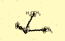 C=C(C)C(=O)OCCCCCCCCCCCNc1cccc(C=Cc2ccc(C(=O)C(F)(F)F)cc2)c1NCCCCCCCCCCCOC(=O)C(=C)C